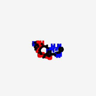 CC[C@H]1OC(=O)[C@H](C)C(=O)C[C@@H](O[C@@H]2OC(C)CC(N(C)C)C2O)[C@@](C)(OC)C[C@@H](C)CN[C@H](C)[C@H]2N(CCCCn3cc(-c4cccc(N)c4)nn3)C(=O)O[C@]12C